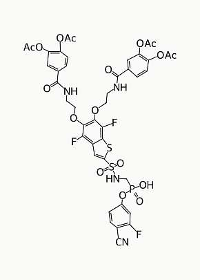 CC(=O)Oc1ccc(C(=O)NCCOc2c(OCCNC(=O)c3ccc(OC(C)=O)c(OC(C)=O)c3)c(F)c3sc(S(=O)(=O)NCP(=O)(O)Oc4ccc(C#N)c(F)c4)cc3c2F)cc1OC(C)=O